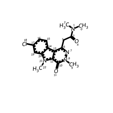 CN(C)C(=O)Cc1nn(C)c(=O)c2c1c1ccc(Cl)cc1n2C